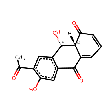 CC(=O)c1cc2c(cc1O)C(=O)C1=CC=CC(=O)[C@H]1[C@H]2O